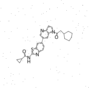 O=C(Nc1nc2ccc(-c3cnc4ccn(C(=O)CC5CCCCC5)c4c3)cc2s1)C1CC1